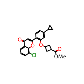 COC(=O)C1CC(Oc2cc(C3CC3)ccc2-c2cc(=O)c3cccc(Cl)c3o2)C1